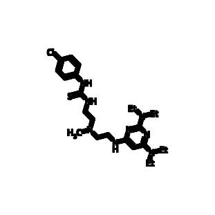 CCN(CC)c1cc(NCCN(C)CCNC(=S)Nc2ccc(Cl)cc2)nc(N(CC)CC)n1